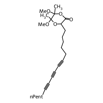 CCCCCC#CC#CC#CCCCCCC1OC(C)(OC)C(C)(OC)OC1=O